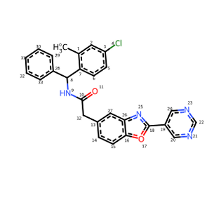 Cc1cc(Cl)ccc1C(NC(=O)Cc1ccc2oc(-c3cncnc3)nc2c1)c1ccccc1